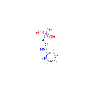 O=P(O)(O)[CH]CNc1ccccn1